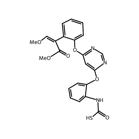 COC=C(C(=O)OC)c1ccccc1Oc1cc(Oc2ccccc2NC(=O)S)ncn1